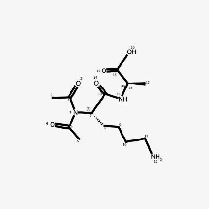 CC(=O)N(C(C)=O)[C@@H](CCCCN)C(=O)N[C@H](C)C(=O)O